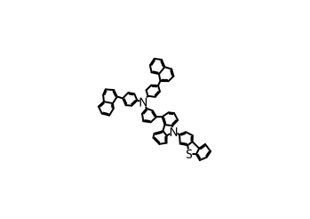 C1=CC(N(c2ccc(-c3cccc4ccccc34)cc2)c2cccc(-c3cccc4c3c3ccccc3n4-c3ccc4c(c3)sc3ccccc34)c2)CC=C1c1cccc2ccccc12